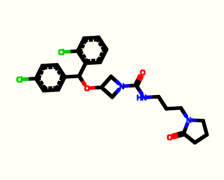 O=C1CCCN1CCCNC(=O)N1CC(OC(c2ccc(Cl)cc2)c2ccccc2Cl)C1